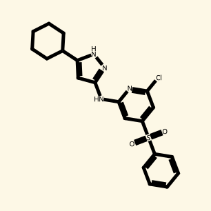 O=S(=O)(c1ccccc1)c1cc(Cl)nc(Nc2cc(C3CCCCC3)[nH]n2)c1